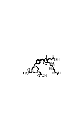 CNC(=O)CNC(=O)CNC(=O)C(CCC(=O)O)NC(=O)Cc1ccc(CN2CCN(CC(=O)O)CCN(CC(=O)O)CC2)cc1